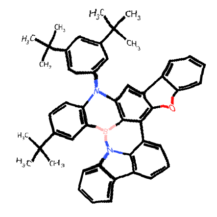 CC(C)(C)c1cc(N2c3ccc(C(C)(C)C)cc3B3c4c2cc2c(oc5ccccc52)c4-c2cccc4c5ccccc5n3c24)cc(C(C)(C)C)c1